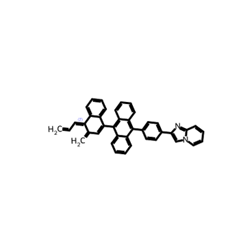 C=C/C=c1\c(=C)cc(-c2c3ccccc3c(-c3ccc(-c4cn5ccccc5n4)cc3)c3ccccc23)c2ccccc12